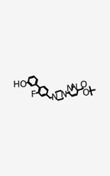 CC(C)(C)OC(=O)c1ccc(N2CCN(Cc3ccc(-c4cccc(O)c4)c(F)c3)CC2)nn1